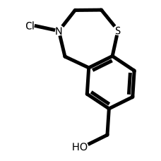 OCc1ccc2c(c1)CN(Cl)CCS2